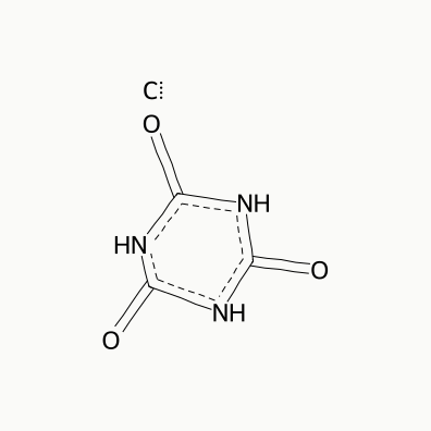 O=c1[nH]c(=O)[nH]c(=O)[nH]1.[C]